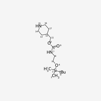 CC(C)(C)[Si](C)(C)OCCNC(=O)OCC1CCNCC1